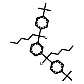 [Li][C](CCCCC)(c1ccc(C(C)(C)C)cc1)c1cccc([C]([Li])(CCCCC)c2ccc(C(C)(C)C)cc2)c1